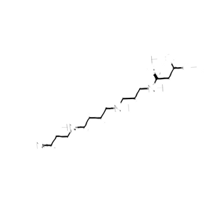 CC(C)CC(=O)NCCCNCCCCNCCCN